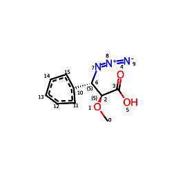 CO[C@H](C(=O)O)[C@@H](N=[N+]=[N-])c1ccccc1